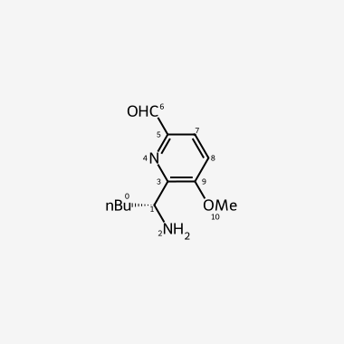 CCCC[C@@H](N)c1nc(C=O)ccc1OC